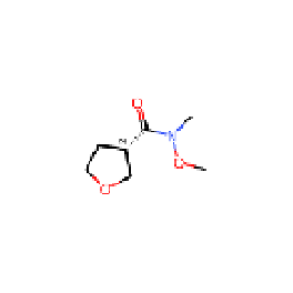 CON(C)C(=O)[C@H]1CCOC1